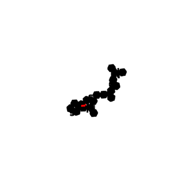 c1ccc(-c2nc(-c3ccccc3)nc(-c3ccc4oc5c(-c6ccc7c(c6)c6ccccc6n7-c6ccc(-c7cccc(-c8ccc(-c9nc(-c%10ccccc%10)nc(-c%10ccccc%10)n9)c9c8sc8ccc(-c%10ccc%11c(c%10)c%10ccccc%10n%11-c%10cccc%11sc%12ccccc%12c%10%11)cc89)c7)cc6)cccc5c4c3)n2)cc1